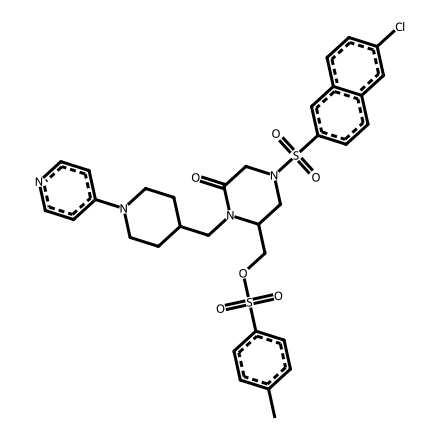 Cc1ccc(S(=O)(=O)OCC2CN(S(=O)(=O)c3ccc4cc(Cl)ccc4c3)CC(=O)N2CC2CCN(c3ccncc3)CC2)cc1